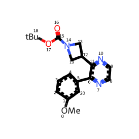 COc1cccc(-c2nccnc2C2CN(C(=O)OC(C)(C)C)C2)c1